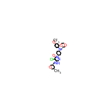 C[C@@H]1COC[C@@H](CNc2cnn([C@H]3CC[C@H](N(C[C@H]4COCCO4)c4ccc(OC(F)(F)F)cc4)CC3)c(=O)c2Cl)C1